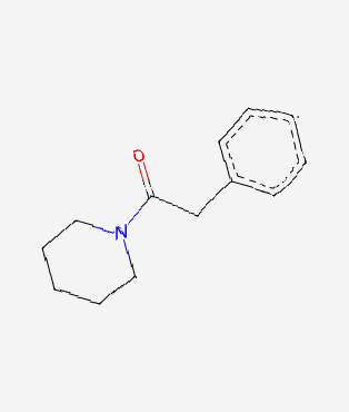 O=C(Cc1cc[c]cc1)N1CCCCC1